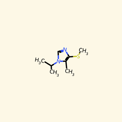 CSc1ncn(C(C)C)c1C